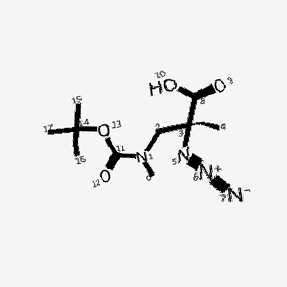 CN(C[C@@](C)(N=[N+]=[N-])C(=O)O)C(=O)OC(C)(C)C